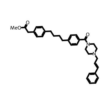 COC(=O)Cc1ccc(CCCCc2ccc(C(=O)N3CCN(C/C=C/c4ccccc4)CC3)cc2)cc1